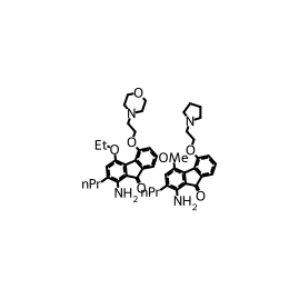 CCCc1cc(OC)c2c(c1N)C(=O)c1cccc(OCCN3CCCC3)c1-2.CCCc1cc(OCC)c2c(c1N)C(=O)c1cccc(OCCN3CCOCC3)c1-2